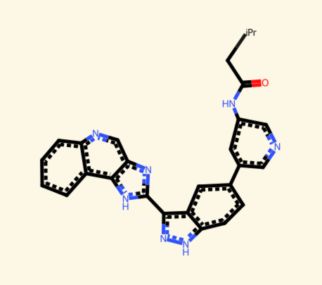 CC(C)CC(=O)Nc1cncc(-c2ccc3[nH]nc(-c4nc5cnc6ccccc6c5[nH]4)c3c2)c1